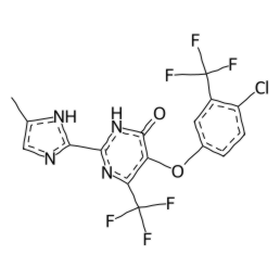 Cc1cnc(-c2nc(C(F)(F)F)c(Oc3ccc(Cl)c(C(F)(F)F)c3)c(=O)[nH]2)[nH]1